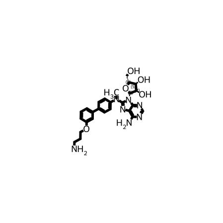 CN(c1ccc(-c2cccc(OCCCN)c2)cc1)c1nc2c(N)ncnc2n1[C@@H]1O[C@H](CO)[C@@H](O)[C@H]1O